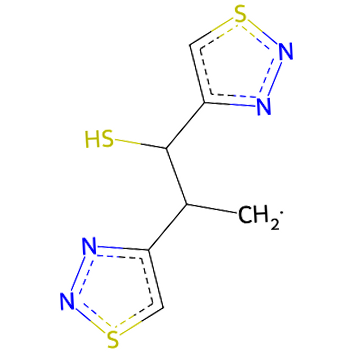 [CH2]C(c1csnn1)C(S)c1csnn1